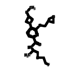 COC1CN(c2ccc(C(=O)NC(C)COCCF)nc2OCC2COC2)C1